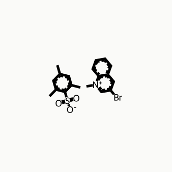 C[n+]1cc(Br)cc2ccccc21.Cc1cc(C)c(S(=O)(=O)[O-])c(C)c1